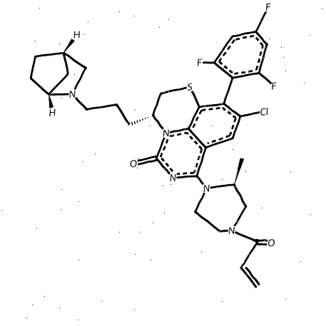 C=CC(=O)N1CCN(c2nc(=O)n3c4c(c(-c5c(F)cc(F)cc5F)c(Cl)cc24)SC[C@H]3CCCN2C[C@H]3CC[C@@H]2C3)[C@@H](C)C1